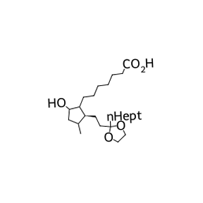 CCCCCCCC1(CC[C@H]2C(C)CC(O)C2CCCCCCC(=O)O)OCCO1